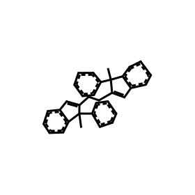 CC1(c2ccccc2)C(CCC2=Cc3ccccc3C2(C)c2ccccc2)=Cc2ccccc21